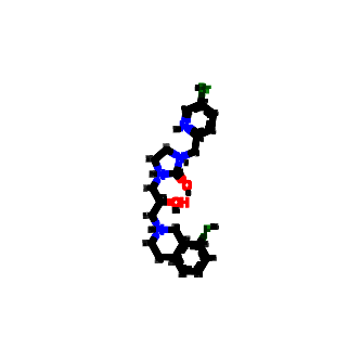 O=C1N(Cc2ccc(Br)cn2)CCN1CC(O)CN1CCc2cccc(F)c2C1